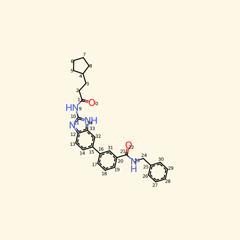 O=C(CCC1CCCC1)Nc1nc2ccc(-c3cccc(C(=O)NCc4ccccc4)c3)cc2[nH]1